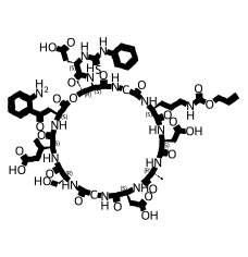 C=CCOC(=O)NCCC[C@@H]1NC(=O)CNC(=O)[C@@H](NC(=O)[C@H](CC(=O)O)NC(=S)Nc2ccccc2)[C@@H](C)OC(=O)[C@H](CC(=O)c2ccccc2N)NC(=O)[C@H](C(C)CC(=O)O)NC(=O)[C@@H](CO)NC(=O)CNC(=O)[C@H](CC(=O)O)NC(=O)[C@@H](C)NC(=O)[C@H](CC(=O)O)NC1=O